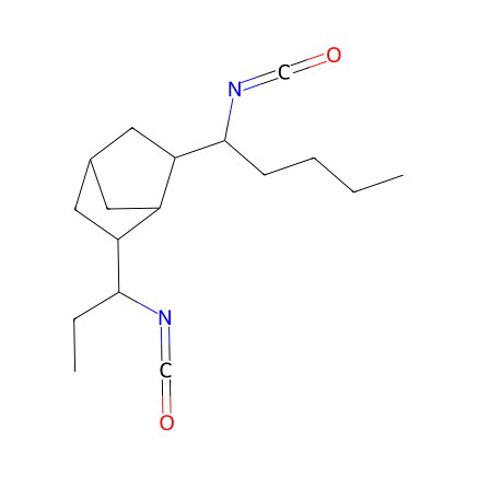 CCCCC(N=C=O)C1CC2CC(C(CC)N=C=O)C1C2